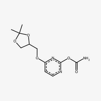 CC1(C)OCC(COc2ccnc(OC(N)=O)n2)O1